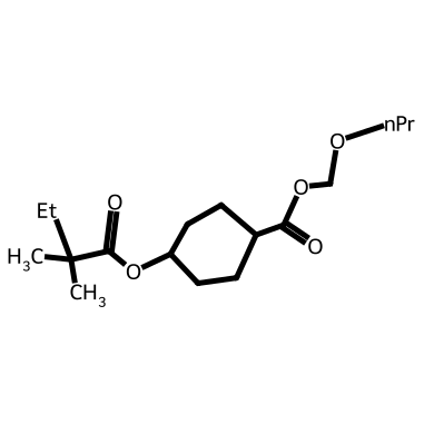 CCCOCOC(=O)C1CCC(OC(=O)C(C)(C)CC)CC1